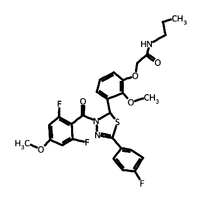 CCCNC(=O)COc1cccc(C2SC(c3ccc(F)cc3)=NN2C(=O)c2c(F)cc(OC)cc2F)c1OC